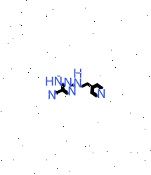 CNc1nc(NCCc2ccncc2)ncc1C#N